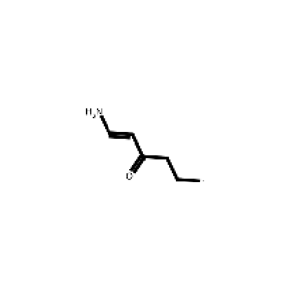 [CH2]CCC(=O)C=CN